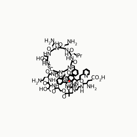 CNC(=O)c1ccccc1Sc1ccc2c(/C=C/c3ccccn3)nn(C(=O)N(CCNC(=O)[C@@H](N)CCC(=O)O)CC(C)(C)C(=O)OCCC(=O)N[C@H](C(=O)N[C@@H](CCN)C(=O)N[C@H]3CCNC(=O)[C@H]([C@@H](C)O)NC(=O)[C@H](CCN)NC(=O)[C@H](CCN)NC(=O)[C@H](CC(C)C)NC(=O)[C@@H](Cc4ccccc4)NC(=O)[C@H](CCN)NC3=O)[C@@H](C)O)c2c1